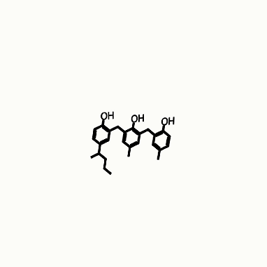 CCCC(C)c1ccc(O)c(Cc2cc(C)cc(Cc3cc(C)ccc3O)c2O)c1